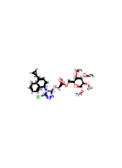 CC(C)OC1[C@H](OC(C)C)OC(COC(=O)CSc2nnc(Br)n2-c2ccc(C3CC3)c3ccccc23)[C@@H](OC(C)C)[C@@H]1OC(C)C